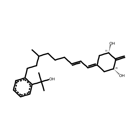 C=C1[C@H](O)CC(=CC=CCCCC(C)CCc2ccccc2C(C)(C)O)C[C@@H]1O